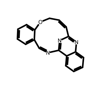 C1=Cc2nc(c3ccccc3n2)N=Cc2ccccc2OC1